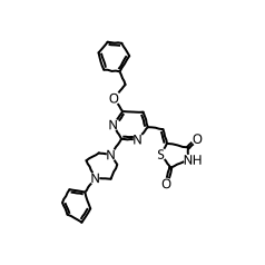 O=C1NC(=O)C(=Cc2cc(OCc3ccccc3)nc(N3CCN(c4ccccc4)CC3)n2)S1